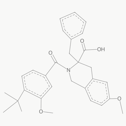 COc1ccc2c(c1)CC(Cc1ccccc1)(C(=O)O)N(C(=O)c1ccc(C(C)(C)C)c(OC)c1)C2